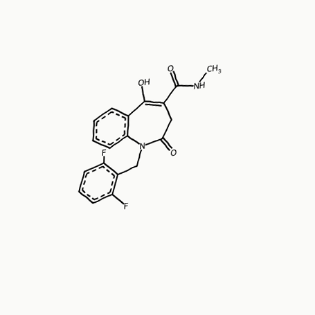 CNC(=O)C1=C(O)c2ccccc2N(Cc2c(F)cccc2F)C(=O)C1